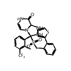 Cc1c(C(F)(F)F)cccc1C1(S(=O)(=O)Cc2ccccc2-c2cccs2)NNC2C(=O)NC=CN21